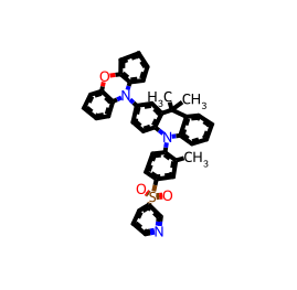 Cc1cc(S(=O)(=O)c2cccnc2)ccc1N1c2ccccc2C(C)(C)c2cc(N3c4ccccc4Oc4ccccc43)ccc21